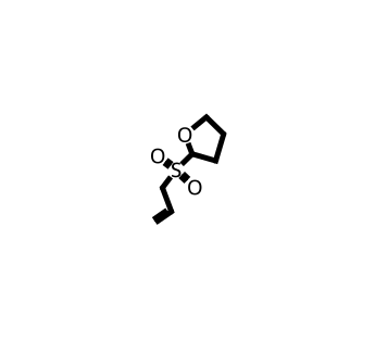 C=CCS(=O)(=O)C1CCCO1